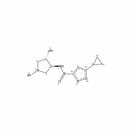 CCC[C@H]1CN(C(C)C)C[C@@H]1NC(=O)c1cc(C2CC2)on1